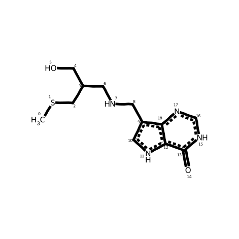 CSCC(CO)CNCc1c[nH]c2c(=O)[nH]cnc12